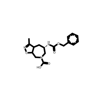 CC1=NOC2CN(C(=O)O)C[C@@H](NC(=O)OCc3ccccc3)CC12